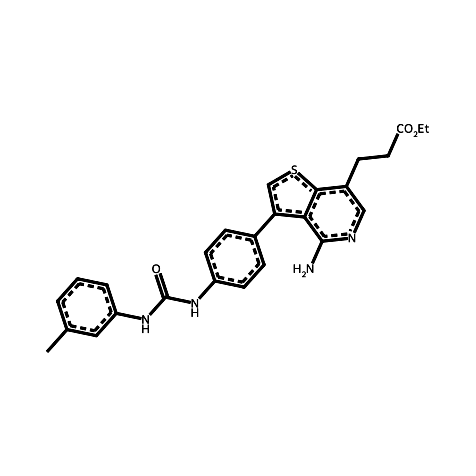 CCOC(=O)CCc1cnc(N)c2c(-c3ccc(NC(=O)Nc4cccc(C)c4)cc3)csc12